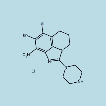 Cl.O=[N+]([O-])c1c(Br)c(Br)c2c3c1nc(N1CCNCC1)n3CCC2